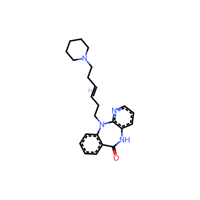 O=C1Nc2cccnc2N(CC/C=C/CCN2CCCCC2)c2ccccc21